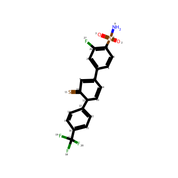 NS(=O)(=O)c1ccc(C2=CC(=S)C(c3ccc(C(F)(F)F)cc3)C=C2)cc1F